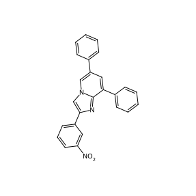 O=[N+]([O-])c1cccc(-c2cn3cc(-c4ccccc4)cc(-c4ccccc4)c3n2)c1